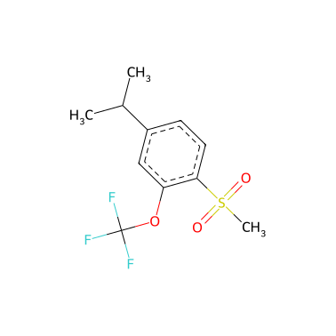 CC(C)c1ccc(S(C)(=O)=O)c(OC(F)(F)F)c1